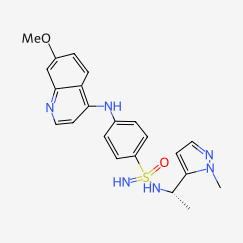 COc1ccc2c(Nc3ccc(S(=N)(=O)N[C@@H](C)c4ccnn4C)cc3)ccnc2c1